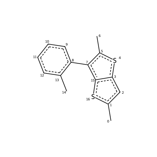 Cc1cc2sc(C)c(-c3ccccc3C)c2s1